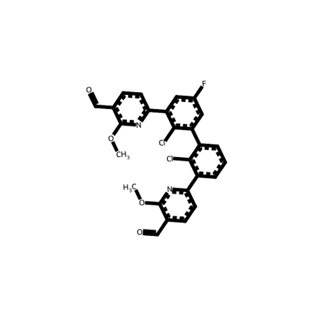 COc1nc(-c2cccc(-c3cc(F)cc(-c4ccc(C=O)c(OC)n4)c3Cl)c2Cl)ccc1C=O